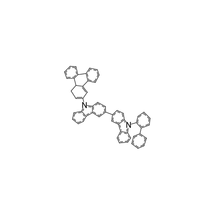 C1=C2c3ccccc3-c3ccccc3C2CC=C1n1c2ccccc2c2cc(-c3ccc4c(c3)c3ccccc3n4-c3ccccc3-c3ccccc3)ccc21